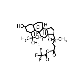 C[C@H](CCC(=O)OC(=O)C(F)(F)F)[C@H]1CC[C@H]2[C@@H]3CCC4C[C@H](O)CC(C(C)(C)C)[C@]4(C)[C@H]3CC[C@]12C